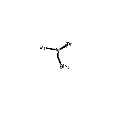 BN(C(C)C)C(C)C